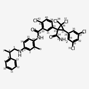 Cc1cc(NCC(C)c2ccccc2)ccc1NC(=O)c1cc(C2(C(N)=O)C(c3cc(Cl)cc(Cl)c3)C2(Cl)Cl)ccc1Cl